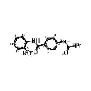 CC(C)C(=O)Nc1ccc(C(=O)Nc2ccccc2[N+](=O)[O-])cc1